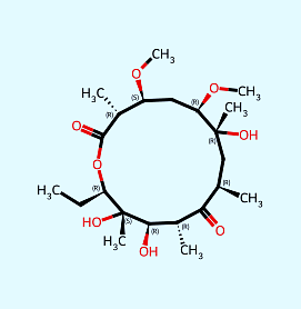 CC[C@H]1OC(=O)[C@H](C)[C@@H](OC)C[C@@H](OC)[C@](C)(O)C[C@@H](C)C(=O)[C@H](C)[C@@H](O)[C@]1(C)O